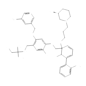 Cc1ccccc1C1=CC=CC(COc2cc(OCc3cncc(C#N)c3)c(CNC(C)(CO)C(=O)O)cc2Cl)(OCCCN2CCC[C@H](O)C2)C1C